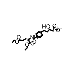 CCOC(=O)CC[C@@H](NC(=O)c1ccc(CCC(O)C[N+](=O)[O-])cc1)C(=O)OCC